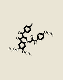 COc1ccc(NC(=O)Cn2cc(C(=O)c3ccc(F)cc3)c(=O)c3cc(OC)c(OC)cc32)cc1